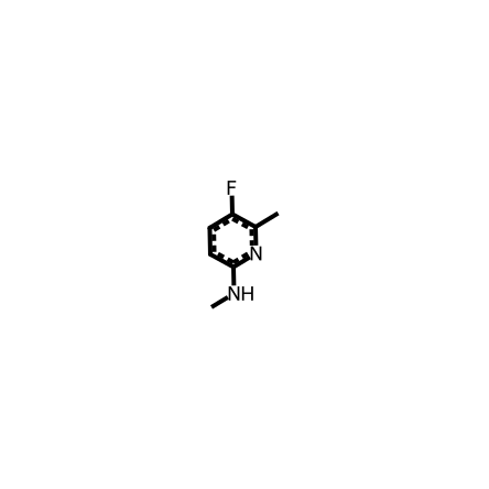 CNc1ccc(F)c(C)n1